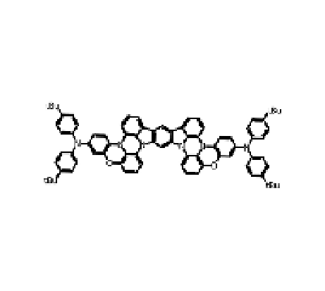 CC(C)(C)c1ccc(N(c2ccc(C(C)(C)C)cc2)c2ccc3c(c2)Oc2cccc4c2B3c2cccc3c5cc6c7cccc8c7n(c6cc5n-4c23)-c2cccc3c2B8c2ccc(N(c4ccc(C(C)(C)C)cc4)c4ccc(C(C)(C)C)cc4)cc2O3)cc1